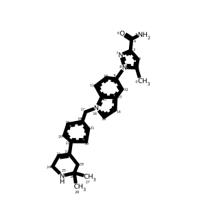 Cc1cc(C(N)=O)nn1-c1ccc2c(ccn2Cc2ccc(C3=CCNC(C)(C)C3)cc2)c1